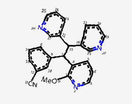 COc1ncccc1C(c1cccc(C#N)c1)C(c1cccnc1)c1cccnc1